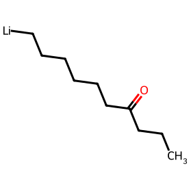 [Li][CH2]CCCCCC(=O)CCC